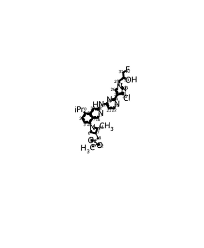 CC(C)c1ccc(N2C[C@H](CS(C)(=O)=O)[C@H]2C)c2cnc(Nc3ccnc(-c4cn(CC(O)CF)nc4Cl)n3)cc12